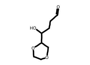 O=CCCC(O)C1COCCO1